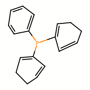 C1=CC(P(C2=CCCC=C2)c2ccccc2)=CCC1